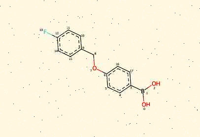 OB(O)c1ccc(OCc2ccc(F)cc2)cc1